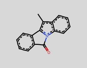 Cc1c2n(c3ccccc13)C(=O)c1ccccc1-2